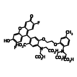 Cc1ccc(N(CC(=O)O)CC(=O)O)c(OCCOc2cc(-c3c4cc(F)c(=O)cc-4oc4cc(O)c(F)cc34)c(C(=O)O)cc2N(CC(=O)O)CC(=O)O)c1